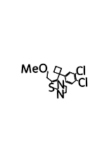 COCCC1=C(C2(c3ccc(Cl)c(Cl)c3)CCC2)N2CCN=C2S1